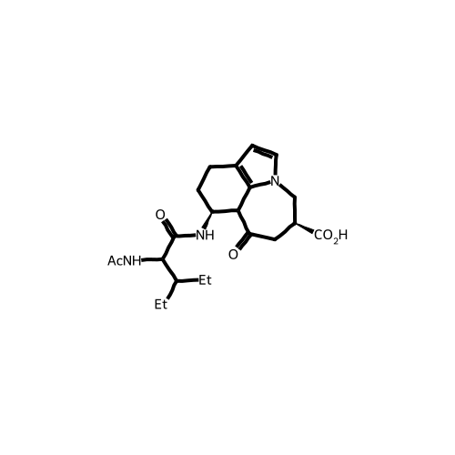 CCC(CC)C(NC(C)=O)C(=O)N[C@H]1CCc2ccn3c2C1C(=O)C[C@H](C(=O)O)C3